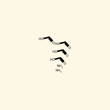 N.N.O=CO.O=CO.O=CO.O=CO